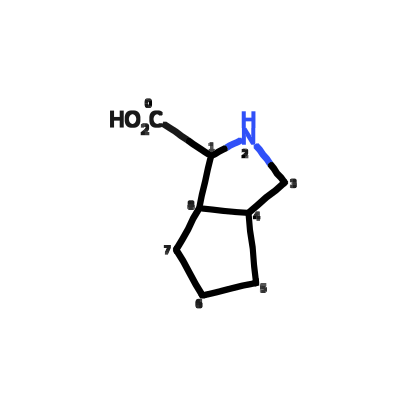 O=C(O)C1NCC2CCCC21